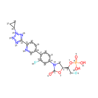 O=C1O[C@H](C(CF)OP(=O)(O)O)CN1c1ccc(-c2ccc(-c3nnn(C4CC4)n3)nc2)c(F)c1